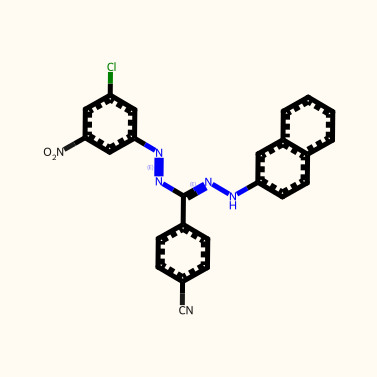 N#Cc1ccc(C(/N=N/c2cc(Cl)cc([N+](=O)[O-])c2)=N\Nc2ccc3ccccc3c2)cc1